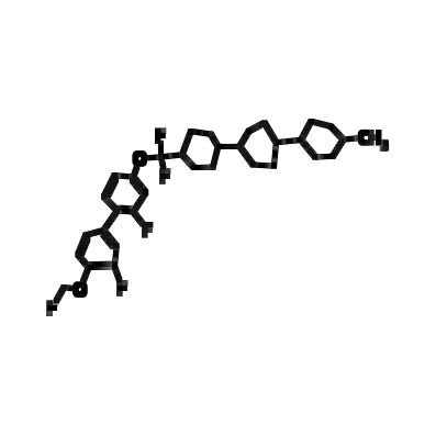 CC1CCC(C2CCC(C3CCC(C(F)(F)Oc4ccc(-c5ccc(OCF)c(F)c5)c(F)c4)CC3)CC2)CC1